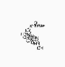 COC(=O)C1CN(Cc2cnc3c(Nc4cccc(-c5cccc(NC(=O)c6cc(CNCC(C)(C)O)cn(C)c6=O)c5Cl)c4Cl)nccc3c2)C1